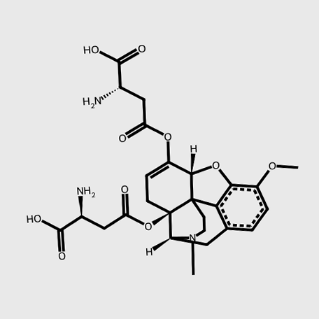 COc1ccc2c3c1O[C@H]1C(OC(=O)C[C@H](N)C(=O)O)=CC[C@@]4(OC(=O)C[C@H](N)C(=O)O)[C@@H](C2)N(C)CCC314